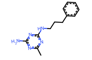 Cc1nc(N)nc(NCCCc2ccccc2)n1